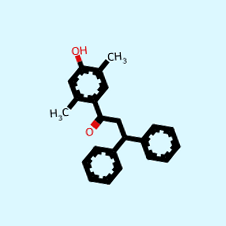 Cc1cc(C(=O)CC(c2ccccc2)c2ccccc2)c(C)cc1O